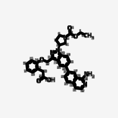 CCOC(=O)N1CC[C@H](n2nc(COc3ccccc3CC(=O)O)c3cc(-c4ccc5ccnc(N)c5c4)ccc32)C1